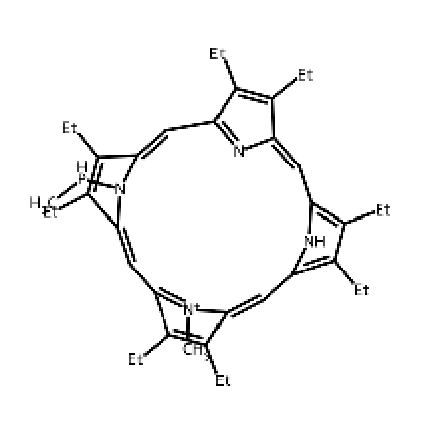 CCC1=C(CC)c2cc3c(CC)c(CC)c(cc4[n+](C)c(cc5[nH]c(cc1n2)c(CC)c5CC)C(CC)=C4CC)n3PC